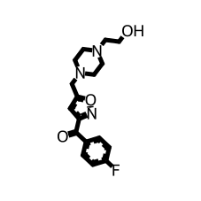 O=C(c1ccc(F)cc1)c1cc(CN2CCN(CCO)CC2)on1